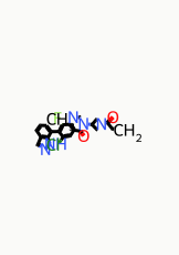 C=CC(=O)N1CC(n2cnc3c(F)c(-c4c(C)ccc5cn[nH]c45)c(Cl)cc3c2=O)C1